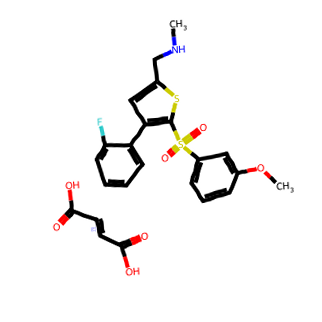 CNCc1cc(-c2ccccc2F)c(S(=O)(=O)c2cccc(OC)c2)s1.O=C(O)/C=C/C(=O)O